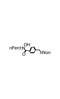 CCCCCCCCCCc1ccc(C(=O)N(O)CCCCC)cc1